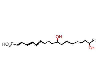 CCC(O)CCCCCCC(O)CCCC=CC=CC=CC(=O)O